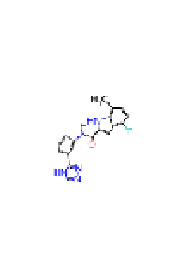 Cc1ccc(F)c2cc(C(=O)Nc3cccc(-c4nnc[nH]4)c3)[nH]c12